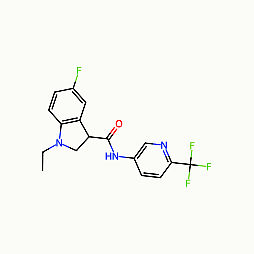 CCN1CC(C(=O)Nc2ccc(C(F)(F)F)nc2)c2cc(F)ccc21